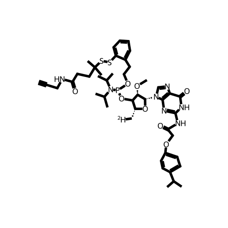 [2H]C[C@H]1O[C@@H](n2cnc3c(=O)[nH]c(NC(=O)COc4ccc(C(C)C)cc4)nc32)[C@@H](OC)C1OP(OCCc1ccccc1SSC(C)(C)CCC(=O)NCC#C)N(C(C)C)C(C)C